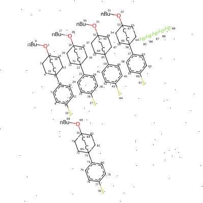 CCCCOC12CCC(c3ccc([S])cc3)(CC1)CC2.CCCCOC12CCC(c3ccc([S])cc3)(CC1)CC2.CCCCOC12CCC(c3ccc([S])cc3)(CC1)CC2.CCCCOC12CCC(c3ccc([S])cc3)(CC1)CC2.CCCCOC12CCC(c3ccc([S])cc3)(CC1)CC2.F.F.F.F.F